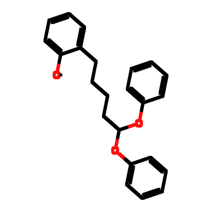 [O]c1ccccc1CCCCC(Oc1ccccc1)Oc1ccccc1